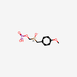 COc1ccc(C[S@+]([O-])CO[PH](=O)O)cc1